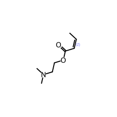 C/C=C\C(=O)OCCN(C)C